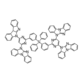 c1ccc([Si](c2ccccc2)(c2cccc(-c3nc(N4C5=Nc6ccccc6C5c5ccccc54)cc(-n4c5ccccc5n5c6ccccc6nc45)n3)c2)c2cccc(-c3nc(-n4c5ccccc5n5c6ccccc6nc45)cc(-n4c5ccccc5n5c6ccccc6nc45)n3)c2)cc1